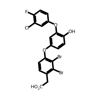 O=C(O)Cc1ccc(Oc2ccc(O)c(Oc3ccc(F)c(Cl)c3)c2)c(Br)c1Br